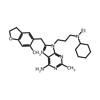 CCN(CCCn1c(Cc2cc3c(cc2C)OCC3)nc2c(N)nc(C)nc21)C1CCCCC1